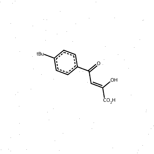 CC(C)(C)c1ccc(C(=O)C=C(O)C(=O)O)cc1